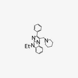 CCn1c2ccccc2n2c(CN3CCCCC3)c(-c3ccccc3)nc12